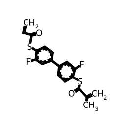 C=CC(=O)Sc1ccc(-c2ccc(SC(=O)C(=C)C)c(F)c2)cc1F